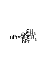 CCC[SiH](CCC)O[SiH](C)C